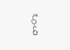 N#CCC1CCC(OCc2ccccc2)CC1